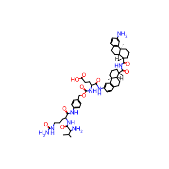 CC(C)C(N)C(=O)NC(CCCNC(N)=O)C(=O)Nc1ccc(COC(=O)NC(CCC(=O)O)C(=O)Nc2ccc3c(c2)[C@@]2(C)CCC[C@](C)(C(=O)NC(=O)[C@@]4(C)CCC[C@]5(C)c6cc(N)ccc6CC[C@@H]45)[C@@H]2CC3)cc1